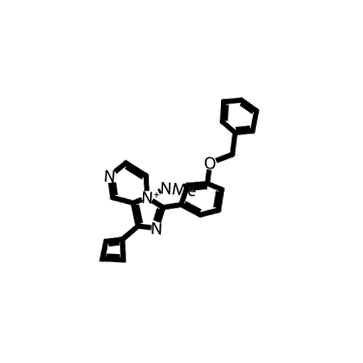 CN[N+]12C=CN=CC1=C(C1=CC=C1)N=C2c1cccc(OCc2ccccc2)c1